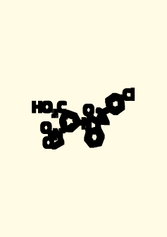 CC1(c2ccc(Cl)cc2)CC12C(=O)N(c1cc(C(=O)O)cc(N3CCOC3=O)c1)c1ccccc12